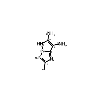 Cc1nc2c(N)c(N)[nH]n2n1